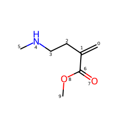 C=C(CCNC)C(=O)OC